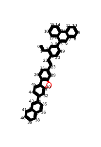 C=Cc1cc(-c2cc3ccccc3c3ccccc23)ccc1/C=C/c1ccc2c(c1)oc1cc(-c3ccc4ccccc4c3)ccc12